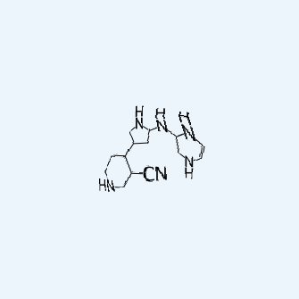 N#CC1CNCCC1C1CNC(NC2CNC=CN2)C1